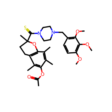 COc1ccc(CN2CCN(C(=S)C3(C)CCc4c(C)c(OC(C)=O)c(C)c(C)c4O3)CC2)c(OC)c1OC